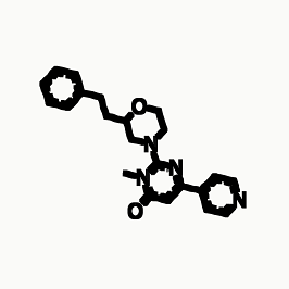 Cn1c(N2CCOC(CCc3ccccc3)C2)nc(-c2ccncc2)cc1=O